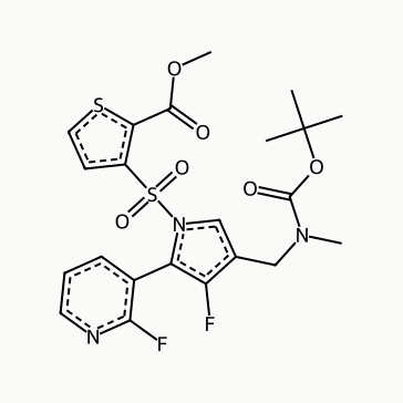 COC(=O)c1sccc1S(=O)(=O)n1cc(CN(C)C(=O)OC(C)(C)C)c(F)c1-c1cccnc1F